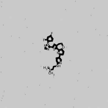 CN(C)CCNc1ccc(-c2ccc3c(n2)-c2sc(-c4ncnn4-c4ccc(F)cc4F)cc2CCO3)cn1